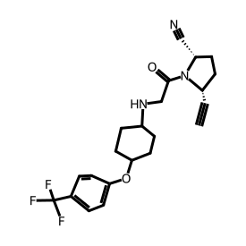 C#C[C@H]1CC[C@@H](C#N)N1C(=O)CNC1CCC(Oc2ccc(C(F)(F)F)cc2)CC1